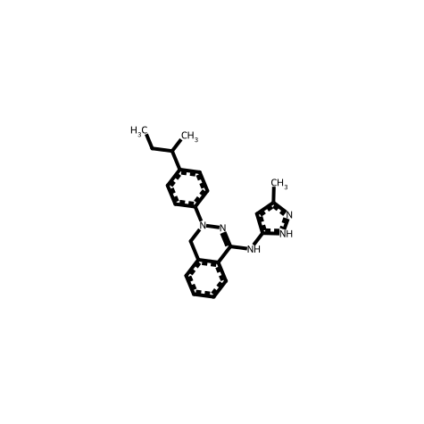 CCC(C)c1ccc(N2Cc3ccccc3C(Nc3cc(C)n[nH]3)=N2)cc1